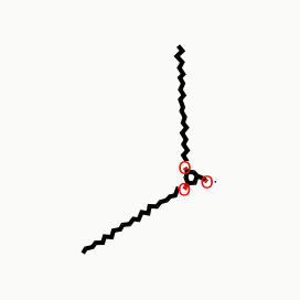 CCCCCCCCCCCCCCCCCCCCCCOC1CC(C[O])CC(OCCCCCCCCCCCCCCCCCCCCCC)C1